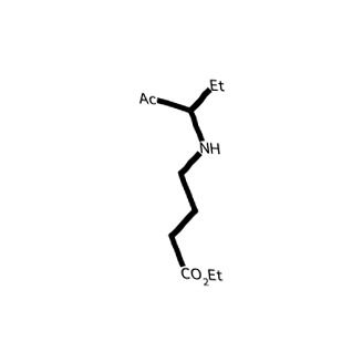 CCOC(=O)CCCNC(CC)C(C)=O